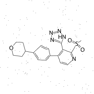 CS(=O)(=O)c1nccc(-c2ccc(C3CCOCC3)cc2)c1-c1nnn[nH]1